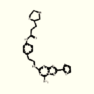 Nc1nc(NCCc2ccc(NC(=O)CCC3CNCCO3)cc2)nc2nc(-c3ccco3)nn12